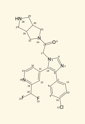 O=C(Cn1cnc(-c2ccc(Cl)cc2)c1-c1ccnc(C(F)F)c1)N1CC2CNCC2C1